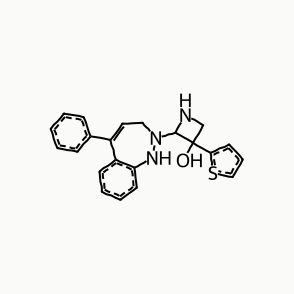 OC1(c2cccs2)CNC1N1CC=C(c2ccccc2)c2ccccc2N1